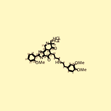 COc1ccc(CCNCCCC2C(=O)C3=NC(c4ccccc4OC)=NC3=C3C=NC(C)(C)C(=O)C32)cc1OC.Cl.Cl